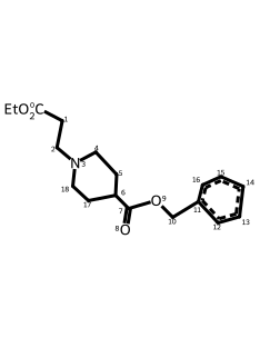 CCOC(=O)CCN1CCC(C(=O)OCc2ccccc2)CC1